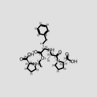 CCOC(=O)[C@H](CCc1ccccc1)N[C@@H](C)C(=O)N1CCC[C@H]1C(=O)O.O=C(O)[C@@H]1CCCN1